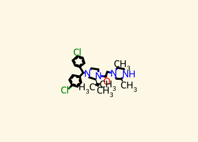 C[C@@H]1CN[C@@H](C)CN1CC(=O)N1CCN(C(c2ccc(Cl)cc2)c2ccc(Cl)cc2)C[C@@H]1C(C)(C)C